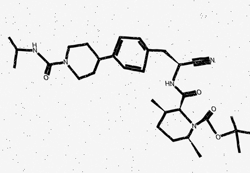 CC(C)NC(=O)N1CCC(c2ccc(C[C@@H](C#N)NC(=O)[C@@H]3[C@H](C)CC[C@H](C)N3C(=O)OC(C)(C)C)cc2)CC1